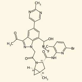 CC(=O)c1nn(CC(=O)N2[C@H](C(=O)Nc3nc(Br)ccc3C)C[C@@]3(C)C[C@@H]23)c2c(C(O)CF)cc(-c3cnc(C)nc3)cc12